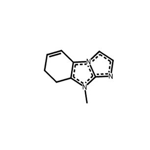 Cn1c2c(n3ccnc13)C=CCC2